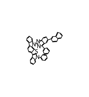 c1ccc(-c2nc(-n3c4ccccc4c4ccc5c(sc6c5c5ccccc5n6-c5ccccc5)c43)nc3ccc(-c4ccc5ccccc5c4)cc23)cc1